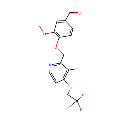 COc1cc(C=O)ccc1OCc1nccc(OCC(F)(F)F)c1C